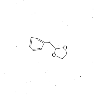 [CH](c1ccccc1)C1OCCO1